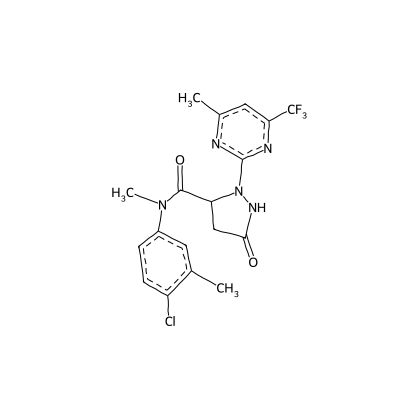 Cc1cc(C(F)(F)F)nc(N2NC(=O)CC2C(=O)N(C)c2ccc(Cl)c(C)c2)n1